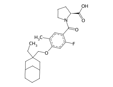 CCC1(COc2cc(F)c(C(=O)N3CCC[C@H]3C(=O)O)cc2C)CC2CCCC(C2)C1